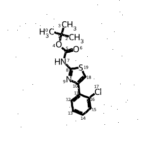 CC(C)(C)OC(=O)Nc1nc(-c2ccccc2Cl)cs1